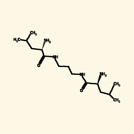 CC(C)C[C@H](N)C(=O)NCCCNC(=O)[C@@H](N)CC(C)C